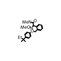 CCC(C)(C)c1ccc(OCc2ccccc2C(=NOC)C(=O)NC)cc1